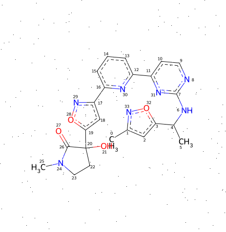 Cc1cc(C(C)Nc2nccc(-c3cccc(-c4cc(C5(O)CCN(C)C5=O)on4)n3)n2)on1